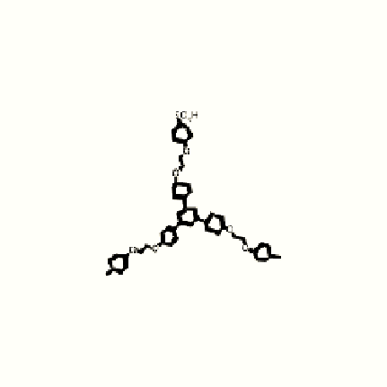 Cc1ccc(OCCOc2ccc(-c3cc(-c4ccc(OCCOc5ccc(C)cc5)cc4)cc(-c4ccc(OCCOc5ccc(S(=O)(=O)O)cc5)cc4)c3)cc2)cc1